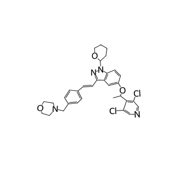 CC(Oc1ccc2c(c1)c(/C=C/c1ccc(CN3CCOCC3)cc1)nn2C1CCCCO1)c1c(Cl)cncc1Cl